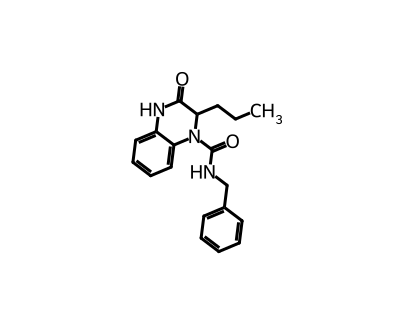 CCCC1C(=O)Nc2ccccc2N1C(=O)NCc1ccccc1